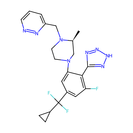 C[C@H]1CN(c2cc(C(F)(F)C3CC3)cc(F)c2-c2nn[nH]n2)CCN1Cc1cccnn1